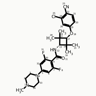 CN1CCN(c2cc(F)c(C(=O)N[C@H]3C(C)(C)[C@H](Oc4ccc(C#N)c(Cl)c4)C3(C)C)c(F)c2)CC1